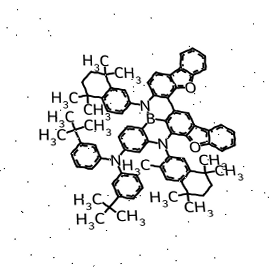 Cc1cc2c(cc1N1c3cc(N(c4cccc(C(C)(C)C)c4)c4cccc(C(C)(C)C)c4)ccc3B3c4c(cc5c(oc6ccccc65)c41)-c1c(ccc4c1oc1ccccc14)N3c1ccc3c(c1)C(C)(C)CCC3(C)C)C(C)(C)CCC2(C)C